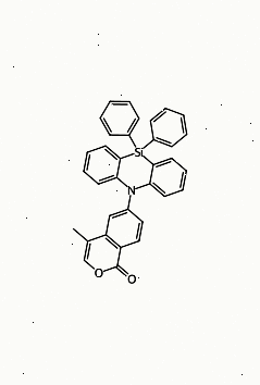 Cc1coc(=O)c2ccc(N3c4ccccc4[Si](c4ccccc4)(c4ccccc4)c4ccccc43)cc12